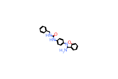 NC1c2ccccc2ON1c1ccc(NC(=O)NCc2ccccc2)cc1